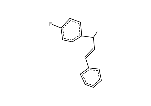 CC(C=Cc1ccccc1)c1ccc(F)cc1